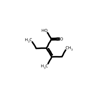 CCC(C)=C(CC)C(=O)O